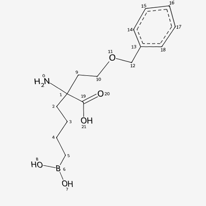 NC(CCCCB(O)O)(CCOCc1ccccc1)C(=O)O